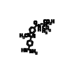 Cn1c(-c2ccc(C(=N)N)cc2)nc2cc(C(=O)NCC(C)(C)C(=O)O)ccc21